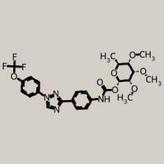 CO[C@@H]1[C@H](OC)[C@H](OC(=O)Nc2ccc(-c3ncn(-c4ccc(OC(F)(F)F)cc4)n3)cc2)O[C@@H](C)[C@@H]1OC